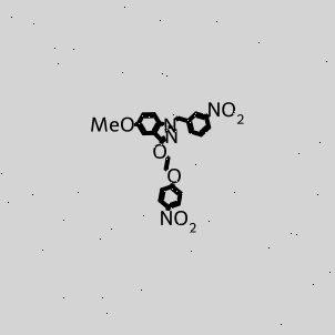 COc1ccc2c(c1)c(OCCOc1ccc([N+](=O)[O-])cc1)nn2Cc1cccc([N+](=O)[O-])c1